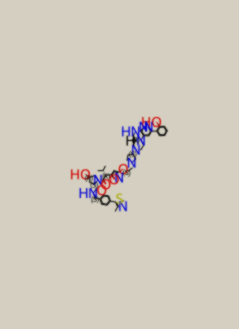 Cc1ncsc1-c1ccc([C@H](C)NC(=O)[C@@H]2C[C@@H](O)CN2C(=O)[C@@H](c2cc(O[C@@H](C)CN3CC[C@H](N4CCN5c6cc(-c7ccccc7O)nnc6NC[C@@H]5C4)C3)no2)C(C)C)cc1